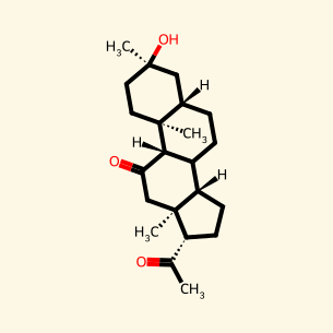 CC(=O)[C@H]1CC[C@H]2C3CC[C@H]4C[C@](C)(O)CC[C@]4(C)[C@H]3C(=O)C[C@]12C